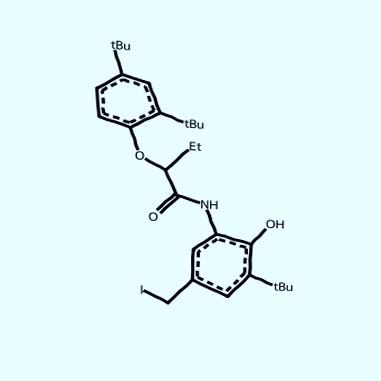 CCC(Oc1ccc(C(C)(C)C)cc1C(C)(C)C)C(=O)Nc1cc(CI)cc(C(C)(C)C)c1O